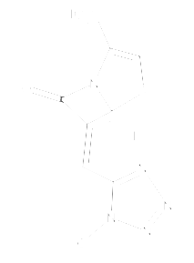 Cn1nnnc1/C=C1/C(=O)N2C(C(=O)O)=CS[C@@H]12